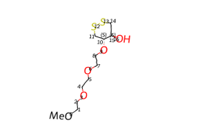 COCCOCCOCCO[C@@H]1CSSC[C@H]1O